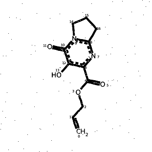 C=CCOC(=O)c1nc2n(c(=O)c1O)CCC2